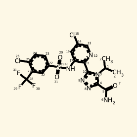 CC(C)n1c(C(N)=O)nnc1-c1ncc(Cl)cc1NS(=O)(=O)c1ccc(Cl)c(C(F)(F)F)c1